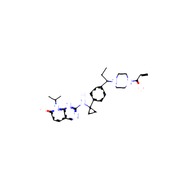 C=CC(=O)N1CCN(C(CC)c2ccc(C3(Nc4ncc5ccc(=O)n(C(C)C)c5n4)CC3)cc2)CC1